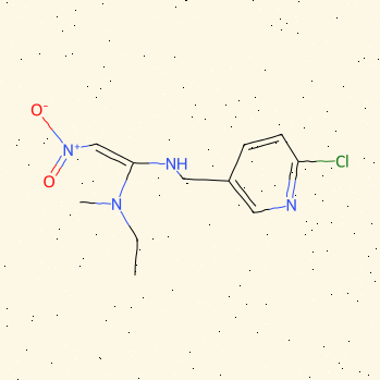 CCN(C)C(=C[N+](=O)[O-])NCc1ccc(Cl)nc1